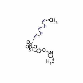 CCC/C=C\C/C=C\C/C=C\C/C=C\C/C=C\CCCC(=O)N1C(=O)SC(Cc2ccc(OCCc3ccc(CC)cn3)cc2)C1=O